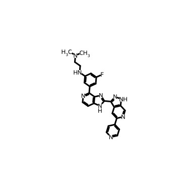 CN(C)CCNc1cc(F)cc(-c2nccc3[nH]c(-c4n[nH]c5cnc(-c6ccncc6)cc45)nc23)c1